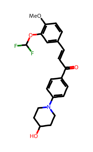 COc1ccc(C=CC(=O)c2ccc(N3CCC(O)CC3)cc2)cc1OC(F)F